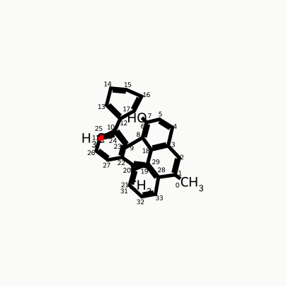 CC(=Cc1ccc(O)c(C=C(C)c2ccccc2)c1C=C(C)c1ccccc1)c1ccccc1